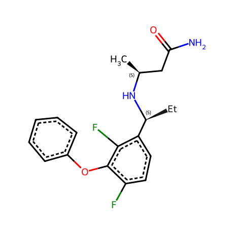 CC[C@H](N[C@@H](C)CC(N)=O)c1ccc(F)c(Oc2ccccc2)c1F